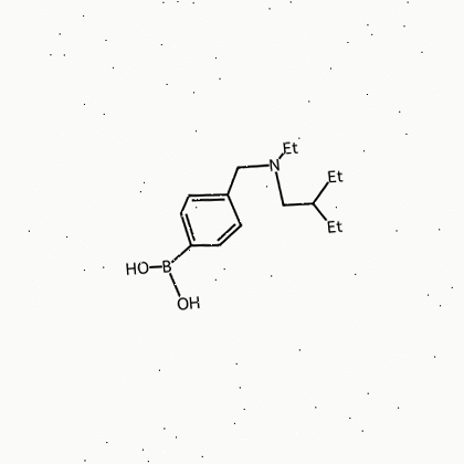 CCC(CC)CN(CC)Cc1ccc(B(O)O)cc1